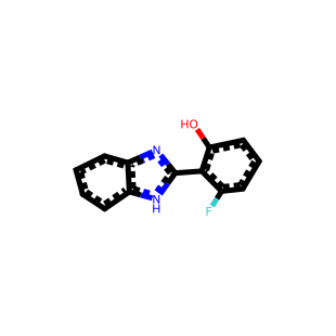 Oc1cccc(F)c1-c1nc2ccccc2[nH]1